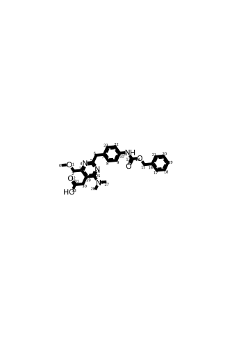 COCc1nc(Cc2ccc(NC(=O)OCc3ccccc3)cc2)nc(N(C)C)c1CC(=O)O